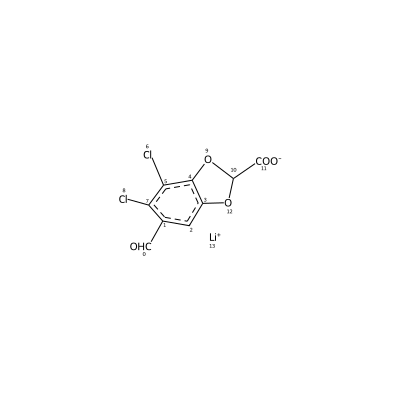 O=Cc1cc2c(c(Cl)c1Cl)OC(C(=O)[O-])O2.[Li+]